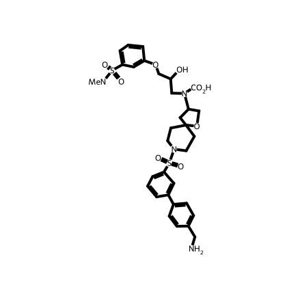 CNS(=O)(=O)c1cccc(OCC(O)CN(C(=O)O)C2COC3(CCN(S(=O)(=O)c4cccc(-c5ccc(CN)cc5)c4)CC3)C2)c1